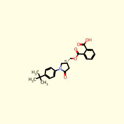 CC(C)(C)c1ccc(N2C[C@H](COC(=O)c3ccccc3C(=O)O)CC2=O)cc1